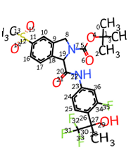 CC(C)(C)OC(=O)N1Cc2cc(S(C)(=O)=O)ccc2C1C(=O)Nc1ccc(C(C)(O)C(F)(F)F)c(F)c1